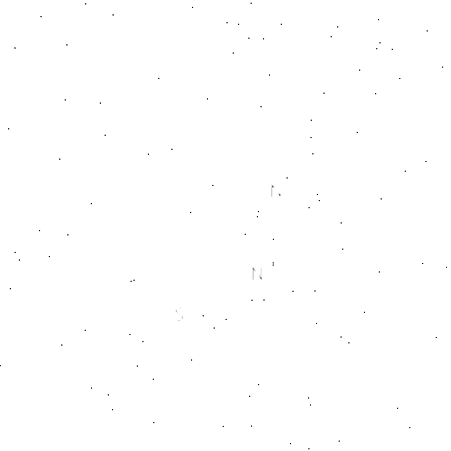 c1ccc([Si]2(c3ccccc3)c3ccccc3-c3ccc(-n4c5ccccc5c5ccc6c(c7ccccc7n6-c6ccc7ccccc7c6)c54)cc32)cc1